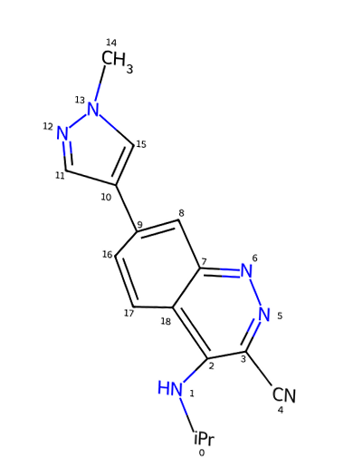 CC(C)Nc1c(C#N)nnc2cc(-c3cnn(C)c3)ccc12